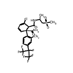 Cc1cc(C(F)(C(F)(F)F)C(F)(F)F)ccc1C1(C(N)=O)C=CC=C(Cl)C1C(=O)NC(C)CS(C)(=O)=O